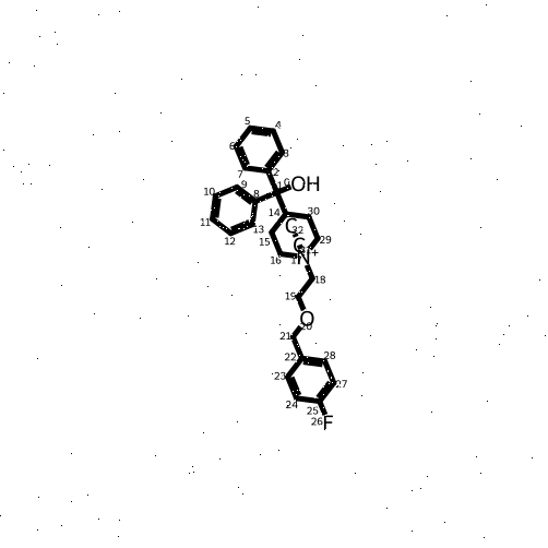 OC(c1ccccc1)(c1ccccc1)C12CC[N+](CCOCc3ccc(F)cc3)(CC1)CC2